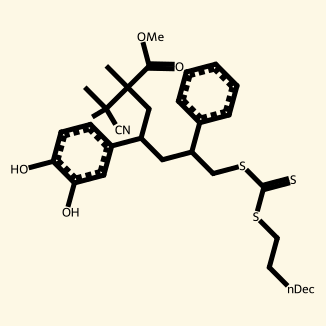 CCCCCCCCCCCCSC(=S)SCC(CC(CC(C)(C(=O)OC)C(C)(C)C#N)c1ccc(O)c(O)c1)c1ccccc1